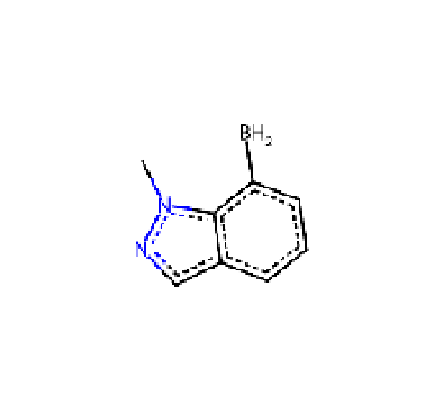 Bc1cccc2cnn(C)c12